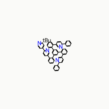 CC(C)(C)c1cc(-c2ccc(-c3ccccc3-c3cc(-c4ccccc4-c4ccc(-c5ccccc5)nc4)cc(-c4ccccc4-c4ccc(-c5ccccc5)nc4)c3)cn2)ccn1